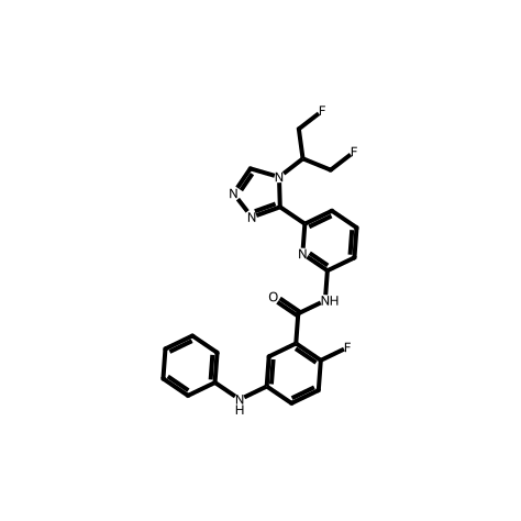 O=C(Nc1cccc(-c2nncn2C(CF)CF)n1)c1cc(Nc2ccccc2)ccc1F